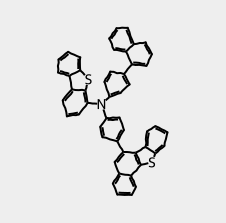 c1ccc2c(-c3ccc(N(c4ccc(-c5cc6ccccc6c6sc7ccccc7c56)cc4)c4cccc5c4sc4ccccc45)cc3)cccc2c1